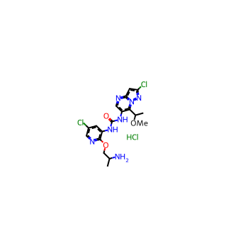 COC(C)c1c(NC(=O)Nc2cc(Cl)cnc2OCC(C)N)cnc2cc(Cl)nn12.Cl